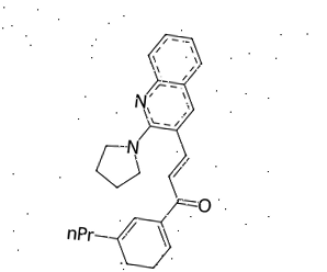 CCCC1=CC(C(=O)C=Cc2cc3ccccc3nc2N2CCCC2)=CC[CH]1